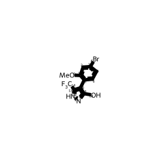 COc1cc(Br)ccc1-c1c(O)n[nH]c1C(F)(F)F